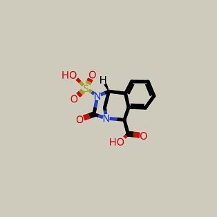 O=C(O)C1c2ccccc2[C@@H]2CN1C(=O)N2S(=O)(=O)O